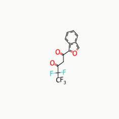 O=C(CC(=O)C(F)(F)C(F)(F)F)c1occ2ccccc12